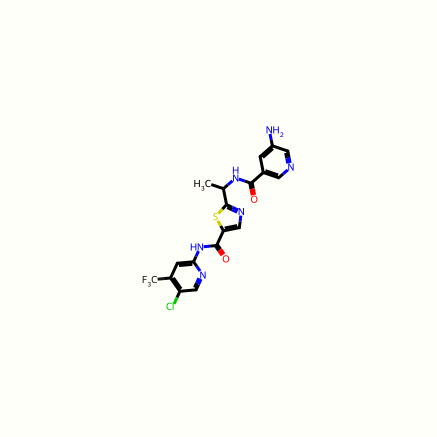 CC(NC(=O)c1cncc(N)c1)c1ncc(C(=O)Nc2cc(C(F)(F)F)c(Cl)cn2)s1